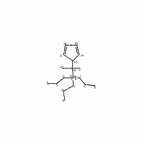 CC[CH2][Pt]([CH2]CC)([CH2]CC)[C](C)(C)C1C=CC=C1